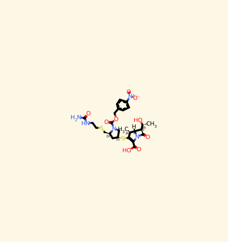 C[C@@H](O)[C@H]1C(=O)N2C(C(=O)O)=C(S[C@H]3C[C@@H](CSCCNC(N)=O)N(C(=O)OCc4ccc([N+](=O)[O-])cc4)C3)[C@H](C)[C@H]12